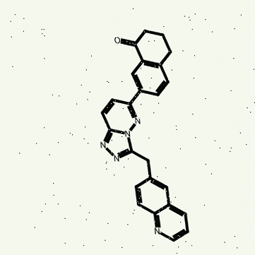 O=C1CCCc2ccc(-c3ccc4nnc(Cc5ccc6ncccc6c5)n4n3)cc21